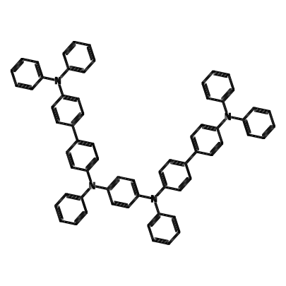 c1ccc(N(c2ccccc2)c2ccc(-c3ccc(N(c4ccccc4)c4ccc(N(c5ccccc5)c5ccc(-c6ccc(N(c7ccccc7)c7ccccc7)cc6)cc5)cc4)cc3)cc2)cc1